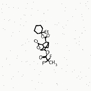 CCC1(OC(=O)C2C3CC4C(OC(=O)C42)C3OC(=O)C(C)(F)F)CCCCC1